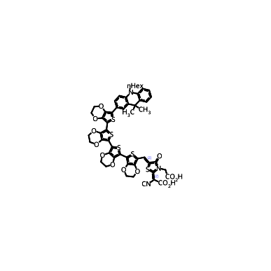 [C-]#[N+]/C(C(=O)O)=c1\s/c(=C\c2sc(-c3sc(-c4sc(-c5sc(-c6ccc7c(c6)C(C)(C)c6ccccc6N7CCCCCC)c6c5OCCO6)c5c4OCCO5)c4c3OCCO4)c3c2OCCO3)c(=O)n1CC(=O)O